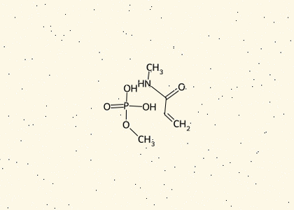 C=CC(=O)NC.COP(=O)(O)O